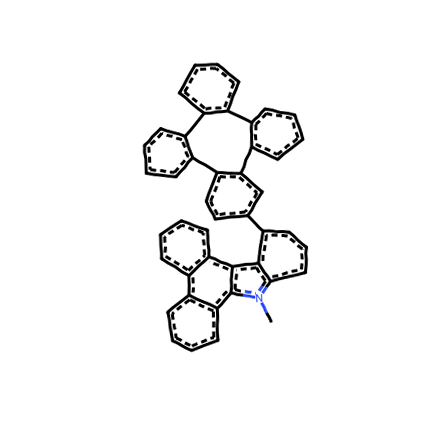 Cn1c2cccc(-c3ccc4c(c3)-c3ccccc3-c3ccccc3-c3ccccc3-4)c2c2c3ccccc3c3ccccc3c21